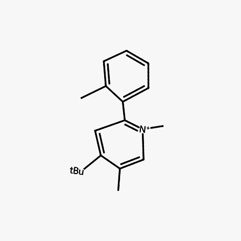 Cc1ccccc1-c1cc(C(C)(C)C)c(C)c[n+]1C